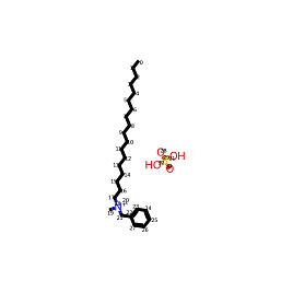 CCCCCCCCCCCCCCCCCC[N+](C)(C)Cc1ccccc1.O=S(=O)(O)O